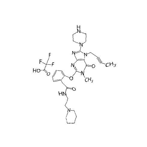 CC#CCn1c(N2CCNCC2)nc2nc(Oc3ccccc3C(=O)NCCN3CCCCC3)n(C)c(=O)c21.O=C(O)C(F)(F)F